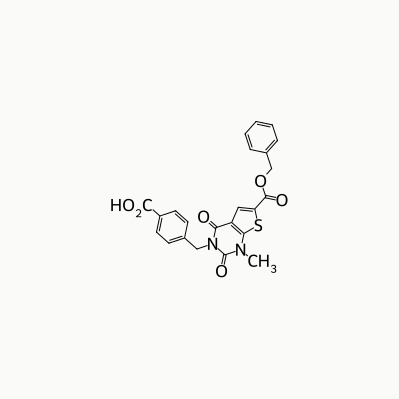 Cn1c(=O)n(Cc2ccc(C(=O)O)cc2)c(=O)c2cc(C(=O)OCc3ccccc3)sc21